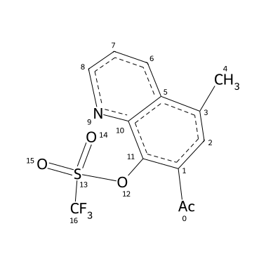 CC(=O)c1cc(C)c2cccnc2c1OS(=O)(=O)C(F)(F)F